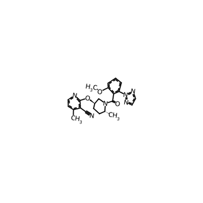 COc1cccc(-n2nccn2)c1C(=O)N1C[C@H](Oc2nccc(C)c2C#N)CC[C@H]1C